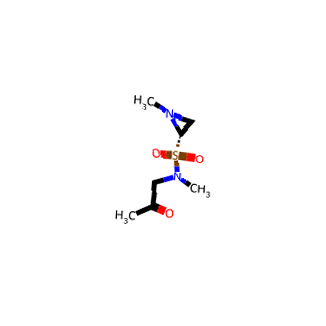 CC(=O)CN(C)S(=O)(=O)[C@H]1CN1C